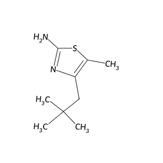 Cc1sc(N)nc1CC(C)(C)C